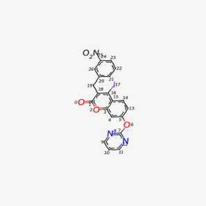 O=c1oc2cc(Oc3ncccn3)ccc2c(I)c1Cc1cccc([N+](=O)[O-])c1